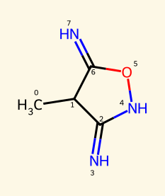 CC1C(=N)NOC1=N